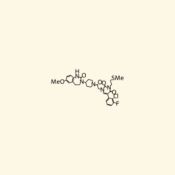 COc1ccc2c(c1)CCN(C1CCN(C(=O)Cn3cc(-c4cccc(F)c4Cl)c(=O)n(CCSC)c3=O)CC1)C(=O)N2